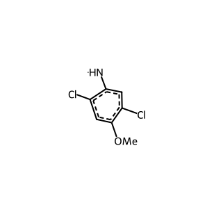 COc1cc(Cl)c([NH])cc1Cl